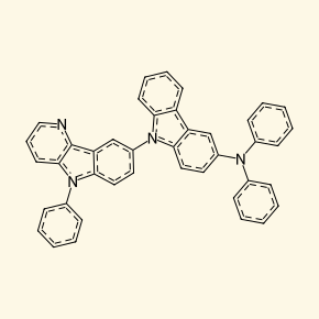 c1ccc(N(c2ccccc2)c2ccc3c(c2)c2ccccc2n3-c2ccc3c(c2)c2ncccc2n3-c2ccccc2)cc1